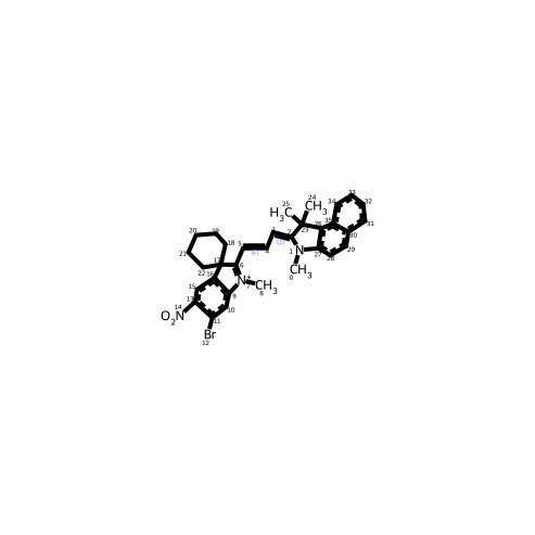 CN1/C(=C\C=C\C2=[N+](C)c3cc(Br)c([N+](=O)[O-])cc3C23CCCCC3)C(C)(C)c2c1ccc1ccccc21